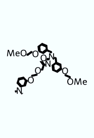 COCCOc1cccc(CN(Cc2cccc(OCCOC)c2)c2nc(COCCOc3cccc(N(C)C)c3)co2)c1